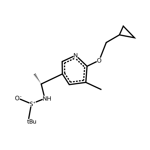 Cc1cc([C@@H](C)N[S+]([O-])C(C)(C)C)cnc1OCC1CC1